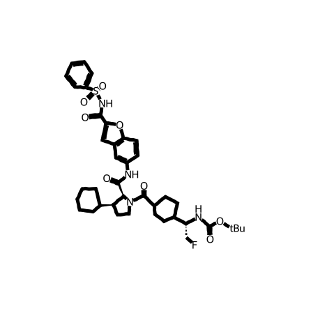 CC(C)(C)OC(=O)N[C@H](CF)C1CCC(C(=O)N2CC[C@@H](C3CCCCC3)[C@H]2C(=O)Nc2ccc3oc(C(=O)NS(=O)(=O)c4ccccc4)cc3c2)CC1